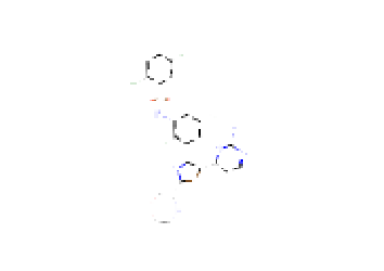 Nc1nccc(-c2sc(C3COCCN3)nc2-c2cc(Cl)cc(NS(=O)(=O)c3cc(F)ccc3F)c2F)n1